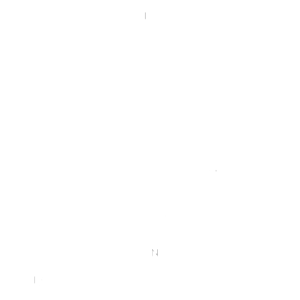 CCCCCC1CCCCC1CCCOc1ccc(-c2ccc(CCCC)cn2)cc1